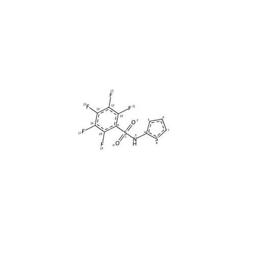 O=S(=O)(Nc1cccs1)c1c(F)c(F)c(F)c(F)c1F